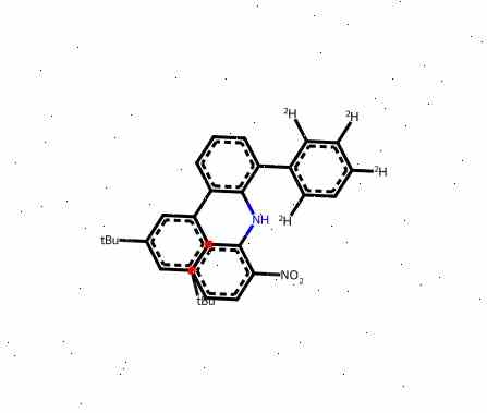 [2H]c1cc([2H])c(-c2cccc(-c3cc(C(C)(C)C)cc(C(C)(C)C)c3)c2Nc2ccccc2[N+](=O)[O-])c([2H])c1[2H]